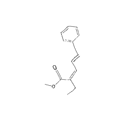 CCC(=CC=Cc1ccccc1)C(=O)OC